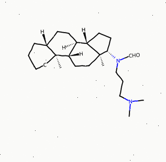 CN(C)CCCN(C=O)[C@H]1CC[C@H]2[C@@H]3CC[C@H]4CCCC[C@]4(C)[C@H]3CC[C@]12C